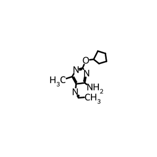 C/C=N\c1c(C)nc(OC2CCCC2)nc1N